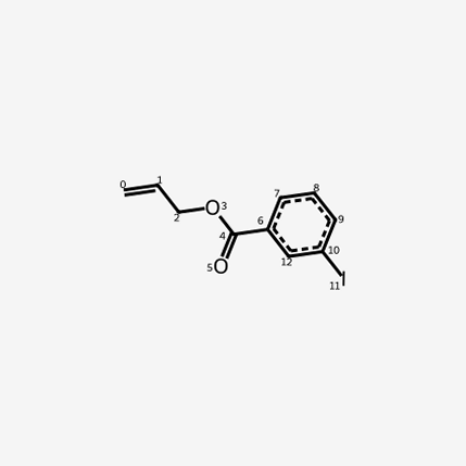 C=CCOC(=O)c1cccc(I)c1